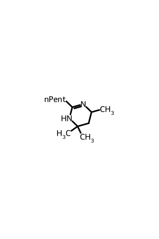 CCCCCC1=NC(C)CC(C)(C)N1